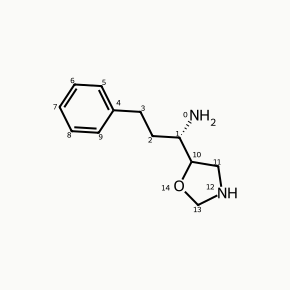 N[C@@H](CCc1ccccc1)C1CNCO1